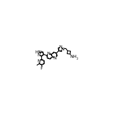 Cc1nc(-c2n[nH]cc2-c2ccc3ncc(-c4cnn(CC5CC(N)C5)c4)cc3n2)ccc1F